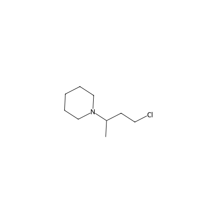 CC(CCCl)N1CCCCC1